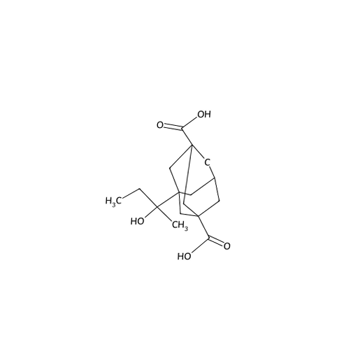 CCC(C)(O)C12CC3CC(C(=O)O)(CC(C(=O)O)(C3)C1)C2